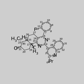 CC(C)c1cc(-c2nc(-c3ccccc3F)c3c(n2)[C@]2(C)CCC(=O)[C@H](C)[C@H]2CC3)c2ccccc2n1